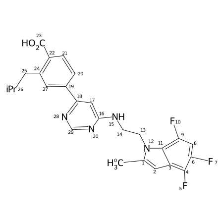 Cc1cc2c(F)c(F)cc(F)c2n1CCNc1cc(-c2ccc(C(=O)O)c(CC(C)C)c2)ncn1